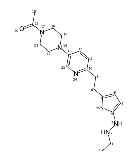 CCNNc1ccc(CCc2ccc(N3CCN(C(C)=O)CC3)cn2)s1